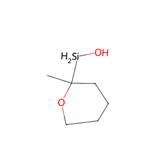 CC1([SiH2]O)CCCCO1